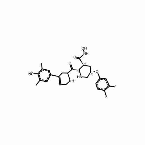 Cc1cc(C2=CCNC(C(=O)[C@H]3NC[C@@H](Oc4ccc(F)c(F)c4)C[C@@H]3C(=O)NO)C2)cc(C)c1C#N